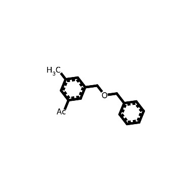 CC(=O)c1cc(C)cc(COCc2ccccc2)c1